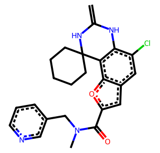 C=C1Nc2c(Cl)cc3cc(C(=O)N(C)Cc4cccnc4)oc3c2C2(CCCCC2)N1